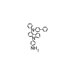 Nc1ccc(-n2c3ccccc3c3c(N(c4ccccc4)c4ccc(-c5ccccc5)cc4)cccc32)cc1